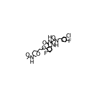 CC(=O)NC1CCC(CCOc2c(F)ccc3nc(C(=O)NCc4ccc(F)c(Cl)c4)[nH]c(=O)c23)OC1